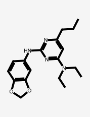 CCCc1cc(N(CC)CC)nc(Nc2ccc3c(c2)OCO3)n1